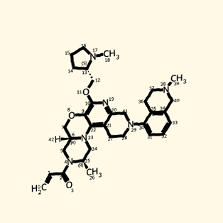 C=CC(=O)N1C[C@@H]2COc3c(OC[C@@H]4CCCN4C)nc4c(c3N2C[C@H]1C)CCN(c1cccc2c1CCN(C)C2)C4